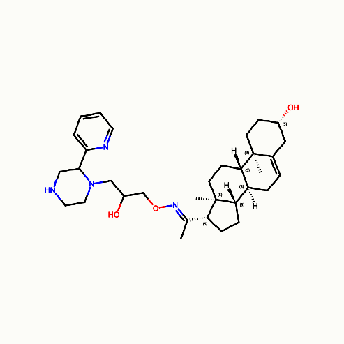 CC(=NOCC(O)CN1CCNCC1c1ccccn1)[C@H]1CC[C@H]2[C@@H]3CC=C4C[C@@H](O)CC[C@]4(C)[C@H]3CC[C@]12C